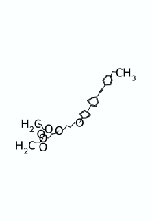 C=CC(=O)OCC(COCCCCOc1ccc(-c2ccc(C#Cc3ccc(CC)cc3)cc2)cc1)OC(=O)C=C